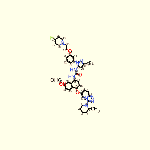 CC1CCCCN1c1nnc2ccc(O[C@@H]3CC[C@H](NC(=O)Nc4cc(C(C)(C)C)nn4-c4cccc(OCCN5CCC(F)CC5)c4)c4ccccc43)cn12.O=CO